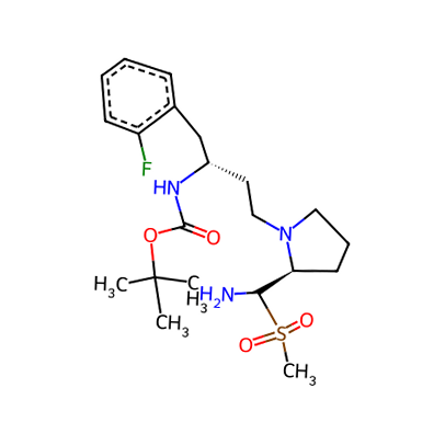 CC(C)(C)OC(=O)N[C@@H](CCN1CCC[C@H]1C(N)S(C)(=O)=O)Cc1ccccc1F